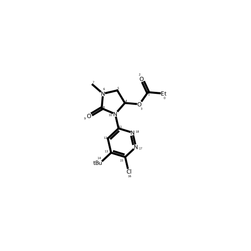 CCC(=O)OC1CN(C)C(=O)N1c1cc(C(C)(C)C)c(Cl)nn1